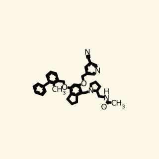 CC(=O)NCC1CCCN1Cc1c(OCc2cncc(C#N)c2)cc(OCc2cccc(-c3ccccc3)c2C)c2c1CCC2